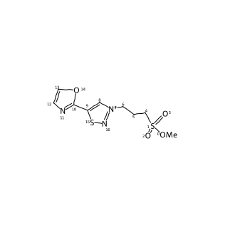 COS(=O)(=O)CCC[n+]1cc(-c2ncco2)sn1